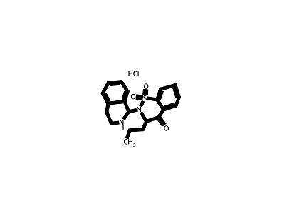 CCCC1C(=O)c2ccccc2S(=O)(=O)N1C1NCCc2ccccc21.Cl